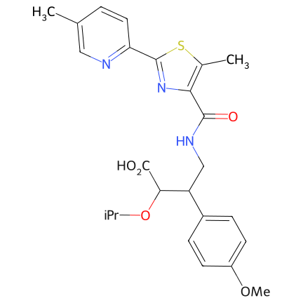 COc1ccc(C(CNC(=O)c2nc(-c3ccc(C)cn3)sc2C)C(OC(C)C)C(=O)O)cc1